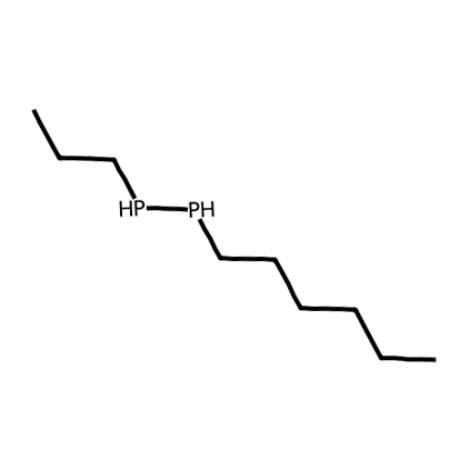 CCCCCCPPCCC